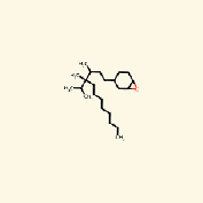 CCCCCCCCC(C)(C(C)C)C(C)CCC1CCC2OC2C1